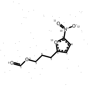 O=COCCCc1ccc([N+](=O)[O-])o1